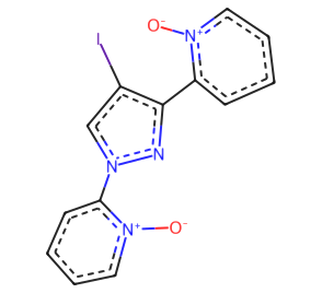 [O-][n+]1ccccc1-c1nn(-c2cccc[n+]2[O-])cc1I